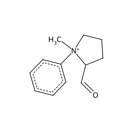 C[N+]1(c2ccccc2)CCCC1C=O